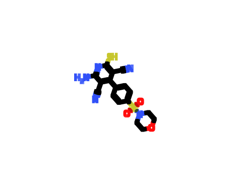 N#Cc1c(N)nc(S)c(C#N)c1-c1ccc(S(=O)(=O)N2CCOCC2)cc1